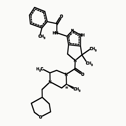 Cc1ccccc1C(=O)Nc1n[nH]c2c1CN(C(=O)N1CC(C)N(CC3CCOCC3)C[C@@H]1C)C2(C)C